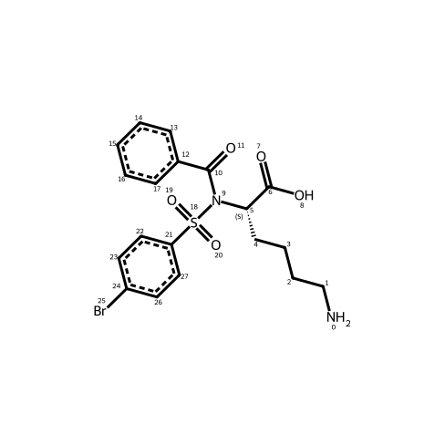 NCCCC[C@@H](C(=O)O)N(C(=O)c1ccccc1)S(=O)(=O)c1ccc(Br)cc1